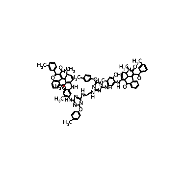 Cc1ccc(Oc2nc(NCCNc3nc(Nc4cc(NC5=C6C(=O)c7ccccc7C7=C(C(=O)c8cccc(C)c8)C(=O)N(C)C(C=C5)C67)c(C)cc4C)nc(Oc4ccc(C)cc4)n3)nc(Nc3cc(NC4=C5C(=O)c6ccccc6C6=C(C(=O)c7cccc(C)c7)C(=O)N(C)C(C=C4)C56)c(C)cc3C)n2)cc1